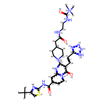 CC(C)(C)c1csc(NC(=O)c2ccn3c(=O)c(/C=C/c4nnn[nH]4)c(N4CCC(CC(=O)NCCNC(=O)[N+](C)(C)C)CC4)nc3c2)n1